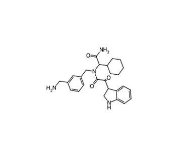 NCc1cccc(CN(C(=O)C(=O)C2CNc3ccccc32)C(C(N)=O)C2CCCCC2)c1